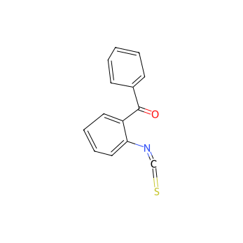 O=C(c1ccccc1)c1ccccc1N=C=S